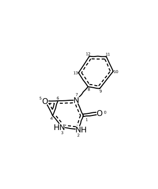 O=c1[nH][nH]c2oc=2n1-c1ccccc1